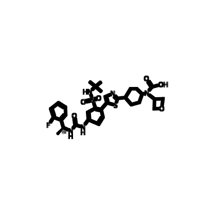 C[C@H](NC(=O)Nc1ccc(-c2cnc(C3CCC(N(C(=O)O)C4COC4)CC3)s2)c(S(=O)(=O)NC(C)(C)C)c1)c1ccccc1F